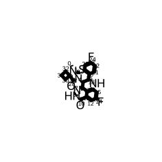 CN1C(=S)N(C2c3n[nH]c(=O)c4cc(F)cc(c34)NC2c2ccc(F)cc2)C(=O)C12CCC2